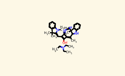 CC(=C1C(=NC#N)C(C=C2N(C)c3ccccc3C2(C)C)=C1O)C1Nc2ccccc2C1(C)C.CCN(CC)CC